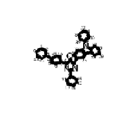 c1ccc(-c2ccc(-c3nc(-c4ccccc4)nc4c3oc3cc5c(cc34)c3ccccc3n5-c3ccccc3)cc2)cc1